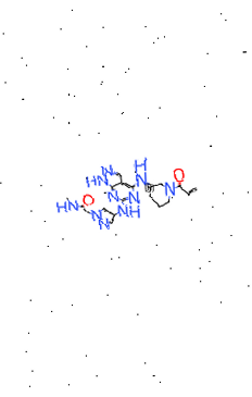 C=CC(=O)N1CCC[C@@H](Nc2nc(Nc3cnn(CC(=O)NC)c3)nc3[nH]ncc23)C1